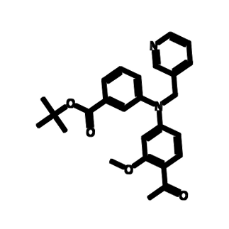 COc1cc(N(Cc2cccnc2)c2cccc(C(=O)OC(C)(C)C)c2)ccc1C(C)=O